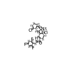 CCC1(Cl)C(=O)N(Cc2c(F)cccc2Cl)c2cc(C(=O)NCc3c(F)cc(F)cc3F)ccc21